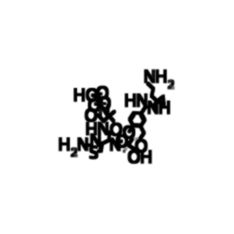 CC1(C)[C@H](NC(=O)/C(=N\O[C@](C)(C(=O)O)[C@H]2CCc3cc(C(=N)NC4(CCCN)CC4)ccc3O2)c2csc(N)n2)C(=O)N1OS(=O)(=O)O